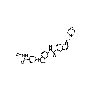 O=C(Nc1ccc2c(ccn2-c2ccc(C(=O)NC3CC3)cc2)c1)c1ccc2c(ccn2CCN2CCOCC2)c1